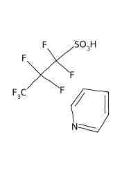 O=S(=O)(O)C(F)(F)C(F)(F)C(F)(F)F.c1ccncc1